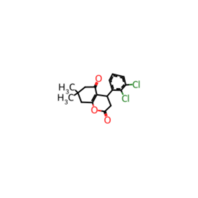 CC1(C)CC(=O)C2=C(C1)OC(=O)CC2c1cccc(Cl)c1Cl